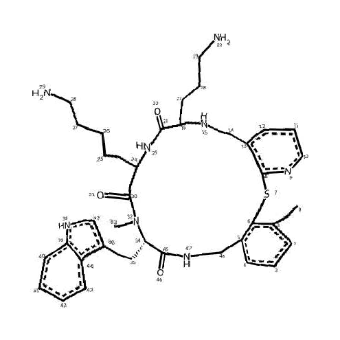 Cc1cccc2c1Sc1ncccc1CNC(CCCN)C(=O)NC(CCCCN)C(=O)N(C)[C@@H](Cc1c[nH]c3ccccc13)C(=O)NC2